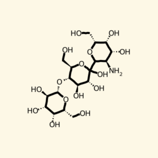 N[C@H]1C(C2(O)O[C@H](CO)[C@@H](O[C@@H]3O[C@H](CO)[C@H](O)[C@H](O)[C@H]3O)[C@H](O)[C@H]2O)O[C@H](CO)[C@H](O)[C@@H]1O